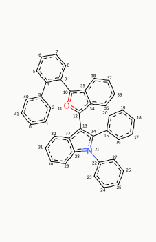 c1ccc(-c2ccccc2-c2oc(-c3c(-c4ccccc4)n(-c4ccccc4)c4ccccc34)c3ccccc23)cc1